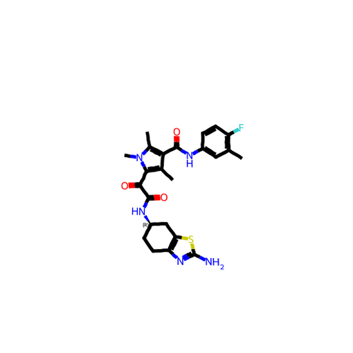 Cc1cc(NC(=O)c2c(C)c(C(=O)C(=O)N[C@@H]3CCc4nc(N)sc4C3)n(C)c2C)ccc1F